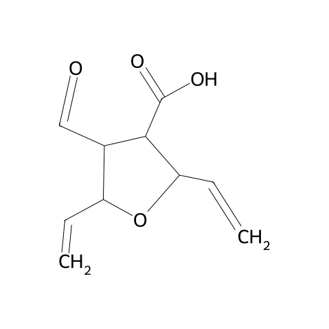 C=CC1OC(C=C)C(C(=O)O)C1C=O